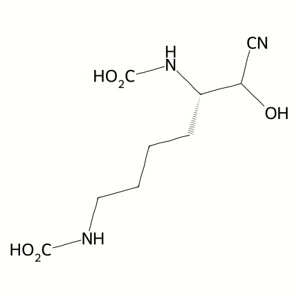 N#CC(O)[C@H](CCCCNC(=O)O)NC(=O)O